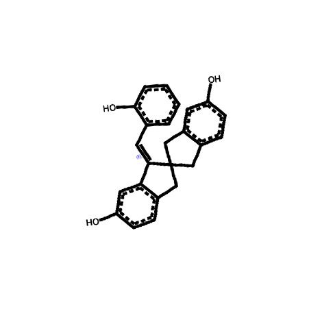 Oc1ccc2c(c1)CC1(C2)Cc2ccc(O)cc2/C1=C/c1ccccc1O